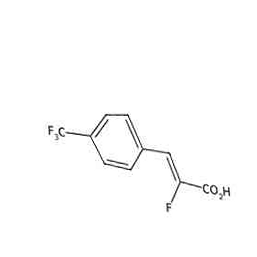 O=C(O)C(F)=Cc1ccc(C(F)(F)F)cc1